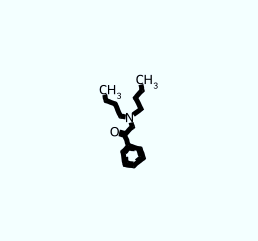 CCCCN(CCCC)CC(=O)c1ccccc1